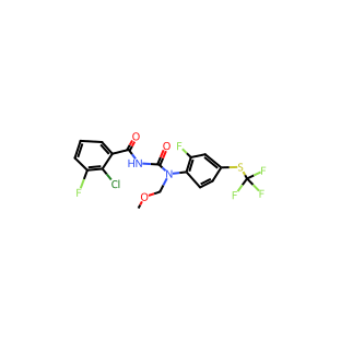 COCN(C(=O)NC(=O)c1cccc(F)c1Cl)c1ccc(SC(F)(F)F)cc1F